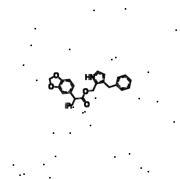 CC(C)C(C(=O)OCc1[nH]ccc1Cc1ccccc1)c1ccc2c(c1)OCO2